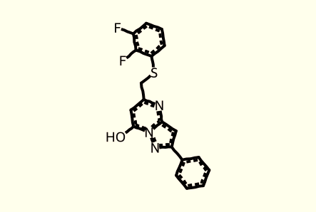 Oc1cc(CSc2cccc(F)c2F)nc2cc(-c3ccccc3)nn12